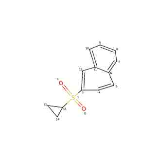 O=S(=O)(c1ccc2ccccc2c1)C1CC1